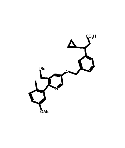 COc1ccc(C)c(-c2ncc(OCc3cccc(C(CC(=O)O)C4CC4)c3)cc2CC(C)(C)C)c1